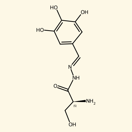 N[C@@H](CO)C(=O)NN=Cc1cc(O)c(O)c(O)c1